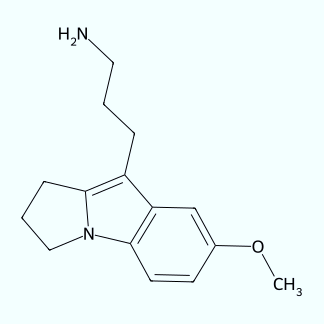 COc1ccc2c(c1)c(CCCN)c1n2CCC1